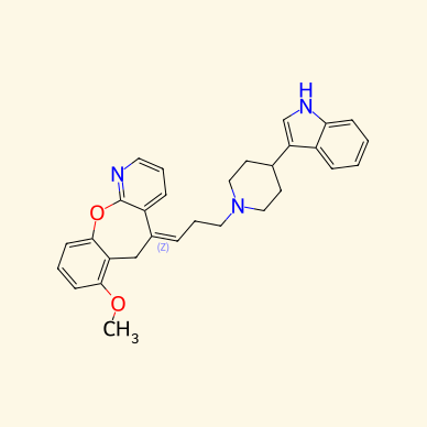 COc1cccc2c1C/C(=C/CCN1CCC(c3c[nH]c4ccccc34)CC1)c1cccnc1O2